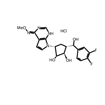 CO/N=c1\nc[nH]c2c1ccn2[C@@H]1C[C@H](C(O)c2ccc(F)c(F)c2)[C@@H](O)[C@H]1O.Cl